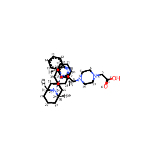 O=C(O)CN1CCN(Cc2nc3ccccc3n2[C@H]2C[C@H]3CCC[C@@H](C2)N3[C@H]2C[C@@H]3CCC[C@@H](C3)C2)CC1